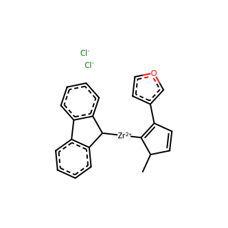 CC1C=CC(c2ccoc2)=[C]1[Zr+2][CH]1c2ccccc2-c2ccccc21.[Cl-].[Cl-]